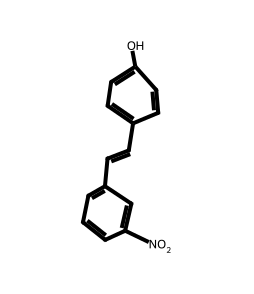 O=[N+]([O-])c1cccc(C=Cc2ccc(O)cc2)c1